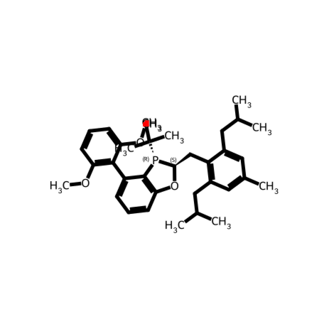 COc1cccc(OC)c1-c1cccc2c1[P@](C(C)(C)C)[C@@H](Cc1c(CC(C)C)cc(C)cc1CC(C)C)O2